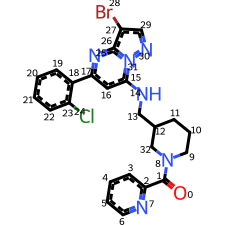 O=C(c1ccccn1)N1CCCC(CNc2cc(-c3ccccc3Cl)nc3c(Br)cnn23)C1